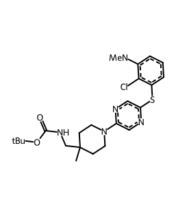 CNc1cccc(Sc2cnc(N3CCC(C)(CNC(=O)OC(C)(C)C)CC3)cn2)c1Cl